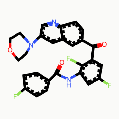 O=C(Nc1cc(F)cc(C(=O)c2ccc3ncc(N4CCOCC4)cc3c2)c1F)c1ccc(F)cc1